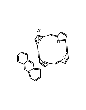 C1=Cc2cc3ccc(cc4nc(cc5ccc(cc1n2)[nH]5)C=C4)[nH]3.[Zn].c1ccc2cc3ccccc3cc2c1